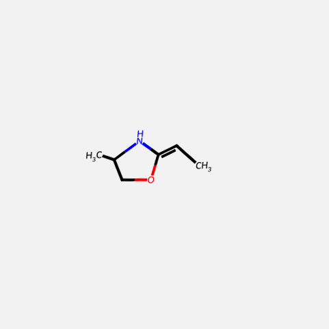 CC=C1NC(C)CO1